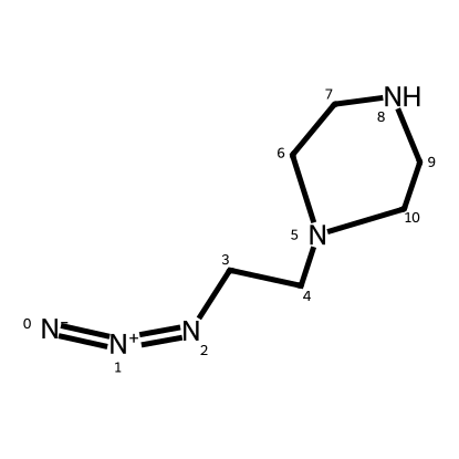 [N-]=[N+]=NCCN1CCNCC1